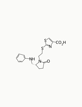 O=C(O)c1csc(SCCN2C(=O)CC[C@@H]2CNc2ccccc2)n1